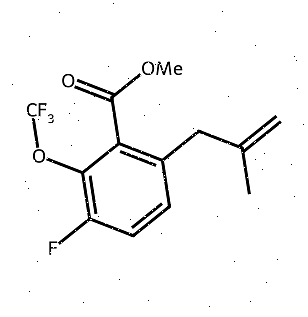 C=C(C)Cc1ccc(F)c(OC(F)(F)F)c1C(=O)OC